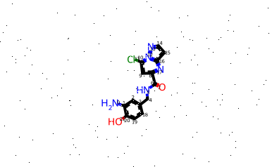 Nc1cc(CNC(=O)c2cc(Cl)n3nccc3n2)ccc1O